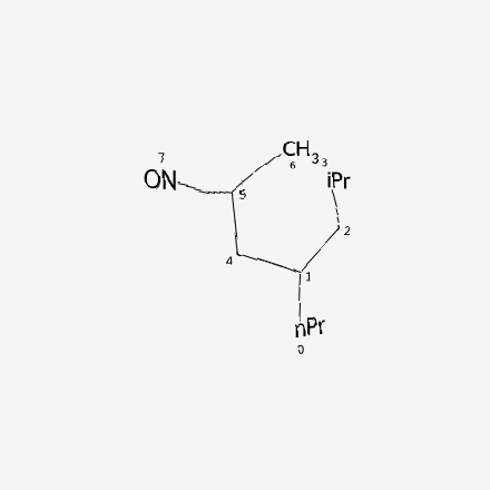 CCCC(CC(C)C)CC(C)N=O